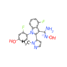 Cn1nccc1-c1c(/C(N)=N/O)c2c(F)cccc2n1-c1ccc(O)cc1F